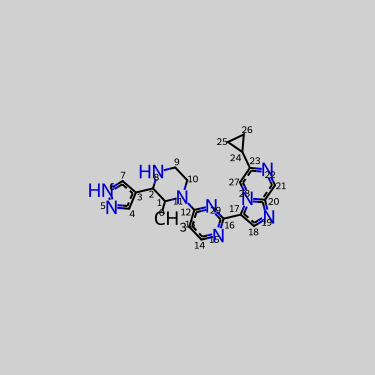 CC1C(c2cn[nH]c2)NCCN1c1ccnc(-c2cnc3cnc(C4CC4)cn23)n1